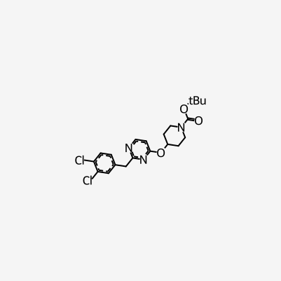 CC(C)(C)OC(=O)N1CCC(Oc2ccnc(Cc3ccc(Cl)c(Cl)c3)n2)CC1